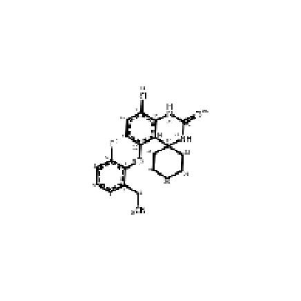 N#CCc1cccc(F)c1Oc1ccc(Cl)c2c1C1(CCCCC1)NC(=O)N2